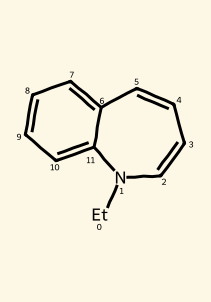 CCN1C=CC=Cc2ccccc21